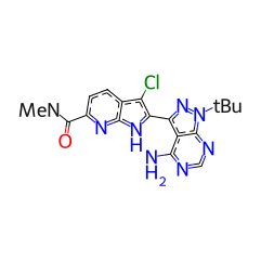 CNC(=O)c1ccc2c(Cl)c(-c3nn(C(C)(C)C)c4ncnc(N)c34)[nH]c2n1